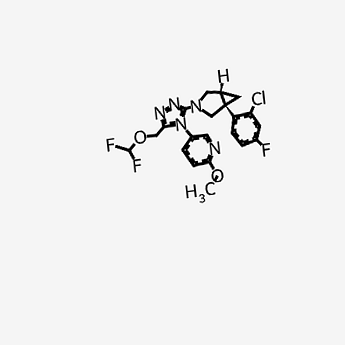 COc1ccc(-n2c(COC(F)F)nnc2N2C[C@@H]3C[C@]3(c3ccc(F)cc3Cl)C2)cn1